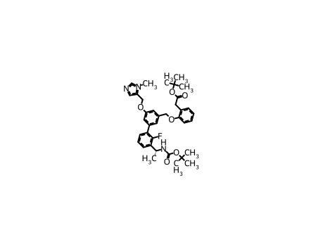 C[C@@H](NC(=O)OC(C)(C)C)c1cccc(-c2cc(COc3ccccc3CC(=O)OC(C)(C)C)cc(OCc3cncn3C)c2)c1F